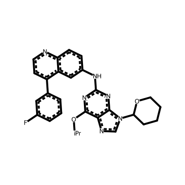 CC(C)Oc1nc(Nc2ccc3nccc(-c4cccc(F)c4)c3c2)nc2c1ncn2C1CCCCO1